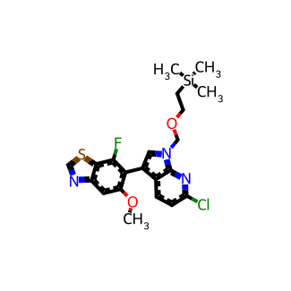 COc1cc2ncsc2c(F)c1-c1cn(COCC[Si](C)(C)C)c2nc(Cl)ccc12